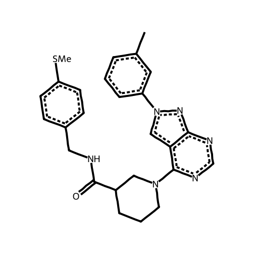 CSc1ccc(CNC(=O)C2CCCN(c3ncnc4nn(-c5cccc(C)c5)cc34)C2)cc1